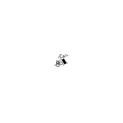 C#C.[Ca+2].[OH-].[OH-]